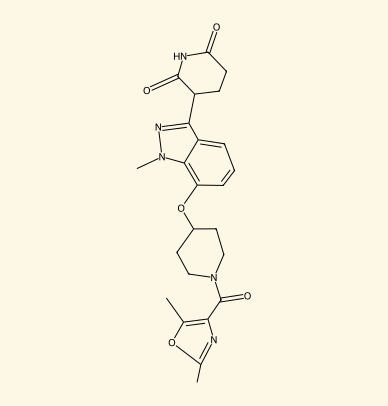 Cc1nc(C(=O)N2CCC(Oc3cccc4c(C5CCC(=O)NC5=O)nn(C)c34)CC2)c(C)o1